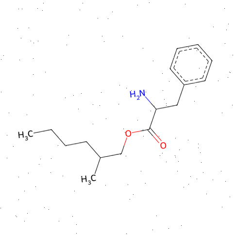 CCCCC(C)COC(=O)C(N)Cc1ccccc1